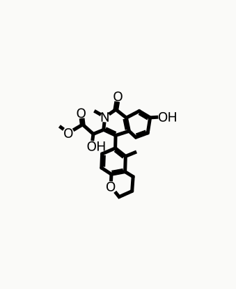 COC(=O)C(O)c1c(-c2ccc3c(c2C)CCCO3)c2ccc(O)cc2c(=O)n1C